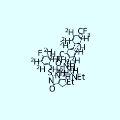 [2H]c1c([2H])c(CSc2nc(=O)c3c(n2C([2H])([2H])C(=O)N(C([2H])([2H])c2c([2H])c([2H])c(-c4c([2H])c([2H])c(C(F)(F)F)c([2H])c4[2H])c([2H])c2C)C([2H])([2H])C([2H])([2H])N(CC)CC)CCC3)c([2H])c([2H])c1F